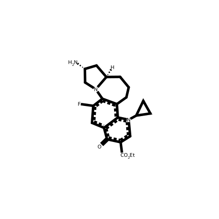 CCOC(=O)c1cn(C2CC2)c2c3c(c(F)cc2c1=O)N1C[C@H](N)C[C@H]1CCC3